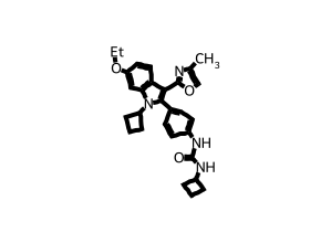 CCOc1ccc2c(-c3nc(C)co3)c(-c3ccc(NC(=O)NC4CCC4)cc3)n(C3CCC3)c2c1